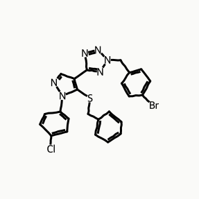 Clc1ccc(-n2ncc(-c3nnn(Cc4ccc(Br)cc4)n3)c2SCc2ccccc2)cc1